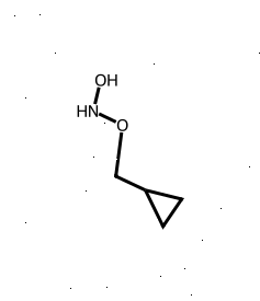 ONOCC1CC1